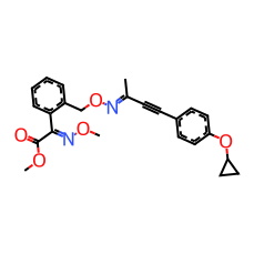 CO/N=C(/C(=O)OC)c1ccccc1CO/N=C(\C)C#Cc1ccc(OC2CC2)cc1